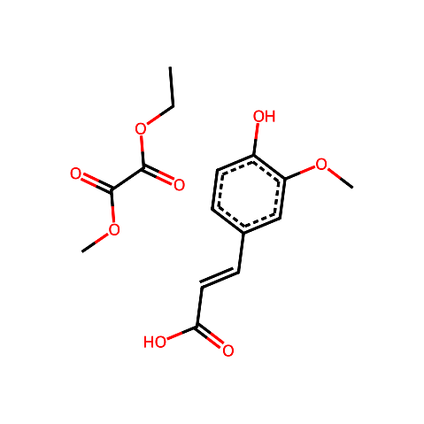 CCOC(=O)C(=O)OC.COc1cc(/C=C/C(=O)O)ccc1O